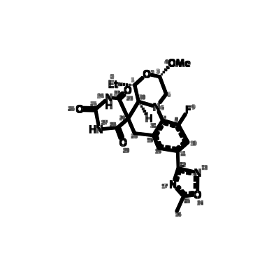 CC[C@@H]1O[C@H](OC)CN2c3c(F)cc(-c4noc(C)n4)cc3CC3(C(=O)NC(=O)NC3=O)[C@@H]12